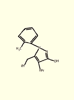 CCCc1c(O)nn(-c2ccccc2C)c1CC(C)C